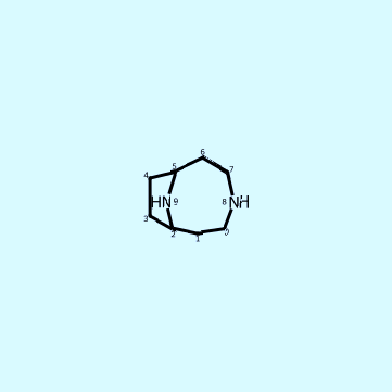 C1CC2CCC(CCN1)N2